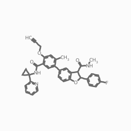 C#CCOc1cc(C)c(-c2ccc3c(c2)C(C(=O)NC)C(c2ccc(F)cc2)O3)cc1C(=O)NC1(c2ccccn2)CC1